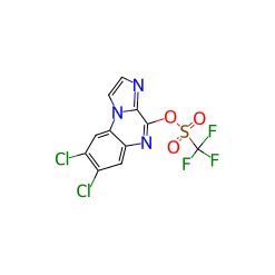 O=S(=O)(Oc1nc2cc(Cl)c(Cl)cc2n2ccnc12)C(F)(F)F